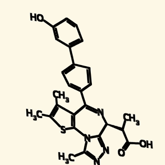 Cc1sc2c(c1C)C(c1ccc(-c3cccc(O)c3)cc1)=N[C@@H](C(C)C(=O)O)c1nnc(C)n1-2